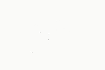 CC(C)=C1Sc2sccc2N1C